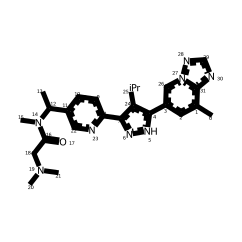 Cc1cc(-c2[nH]nc(-c3ccc(C(C)N(C)C(=O)CN(C)C)cn3)c2C(C)C)cn2ncnc12